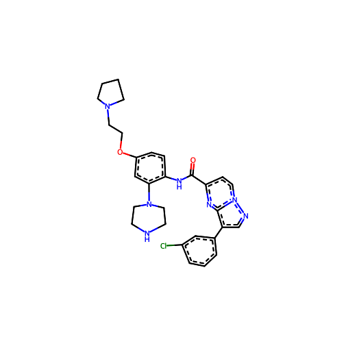 O=C(Nc1ccc(OCCN2CCCC2)cc1N1CCNCC1)c1ccn2ncc(-c3cccc(Cl)c3)c2n1